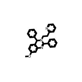 COc1ccc2c(c1)N=C(c1ccccc1)N(CCc1ccccn1)C2c1ccccc1